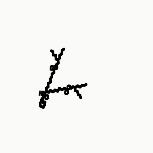 CCCCCC(CCCCC)CCOC(=O)CCCCCCCCC(CCCCCCCCC(=O)OCCC(CCCCC)CCCCC)NC(=O)CN1CCCCC1